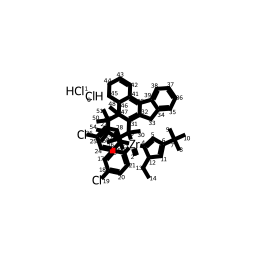 Cl.Cl.[CH2]=[Zr]([C]1=CC(C(C)(C)C)=CC1CC)([c]1ccc(Cl)cc1)([c]1ccc(Cl)cc1)[C]1(C)C2=C3Cc4ccccc4C3=C3C=CCCC3C2(C)C(C)(C)C(C)(C)C1(C)C